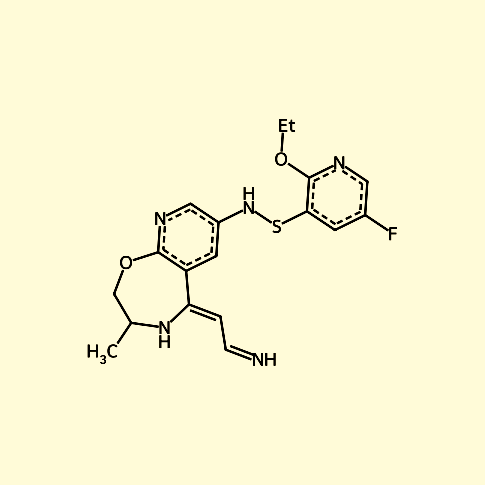 CCOc1ncc(F)cc1SNc1cnc2c(c1)/C(=C/C=N)NC(C)CO2